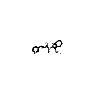 Nc1c(NC(=O)/C=C/c2cccnc2)sc2c1CCCC2